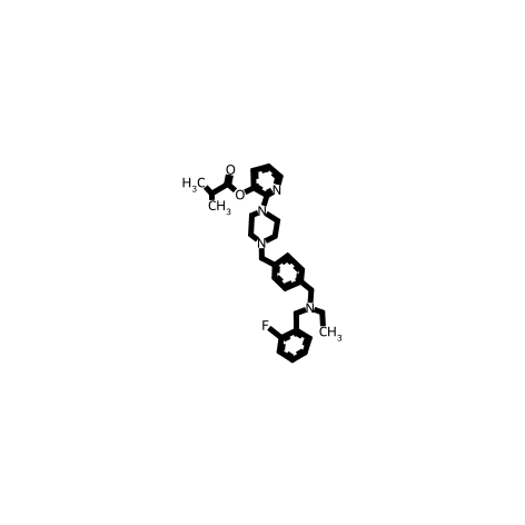 CCN(Cc1ccc(CN2CCN(c3ncccc3OC(=O)C(C)C)CC2)cc1)Cc1ccccc1F